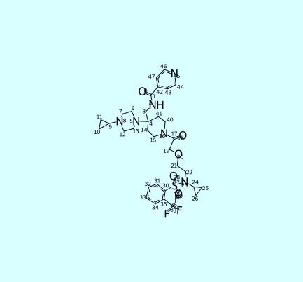 O=C(NCC1(N2CCN(C3CC3)CC2)CCN(C(=O)COCCN(C2CC2)S(=O)(=O)c2ccccc2C(F)(F)F)CC1)c1ccncc1